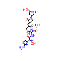 Nc1nc(C(=NO)C(=O)N[C@@H]2C(=O)N3C(C(=O)O)=C(C=C4CCN(C5CNC(CO)C5)C4=O)CS[C@H]23)cs1